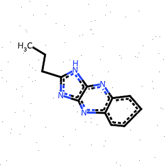 CCCc1nc2nc3ccccc3nc2[nH]1